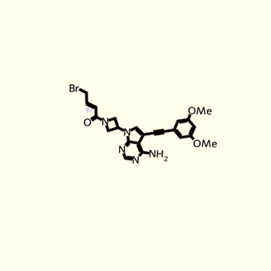 COc1cc(C#Cc2cn(C3CN(C(=O)/C=C/CBr)C3)c3ncnc(N)c23)cc(OC)c1